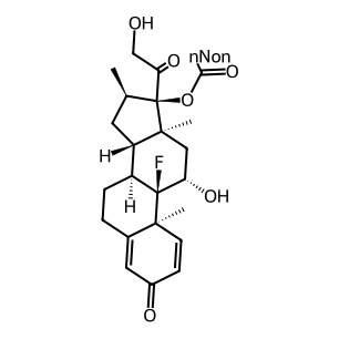 CCCCCCCCCC(=O)O[C@]1(C(=O)CO)[C@H](C)C[C@H]2[C@@H]3CCC4=CC(=O)C=C[C@]4(C)[C@@]3(F)[C@@H](O)C[C@@]21C